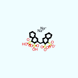 O=S(=O)([O-])c1c(Cc2cc3ccccc3c(S(=O)(=O)O)c2S(=O)(=O)O)cc2ccccc2c1S(=O)(=O)[O-].[Na+].[Na+]